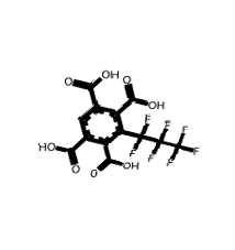 O=C(O)c1cc(C(=O)O)c(C(=O)O)c(C(F)(F)C(F)(F)C(F)(F)F)c1C(=O)O